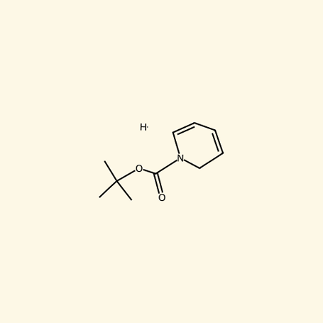 CC(C)(C)OC(=O)N1C=CC=CC1.[H]